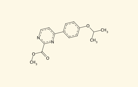 COC(=O)c1nccc(-c2ccc(OC(C)C)cc2)n1